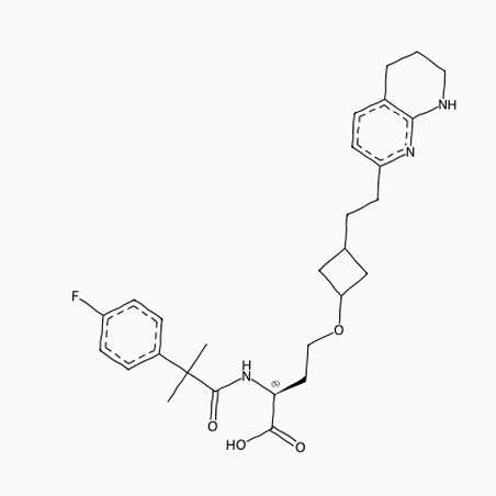 CC(C)(C(=O)N[C@@H](CCOC1CC(CCc2ccc3c(n2)NCCC3)C1)C(=O)O)c1ccc(F)cc1